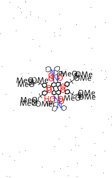 CO[Si](CCC(C)(C)c1ccc(Oc2cc3c4c(cc(Oc5ccc(C(C)(C)CC[Si](OC)(OC)OC)cc5)c5c6c(Oc7ccc(C(C)(C)CC[Si](OC)(OC)OC)cc7)cc7c8c(cc(Oc9ccc(C(C)(C)CC[Si](OC)(OC)OC)cc9)c(c2c45)c86)C(=O)N(C(C(=O)N(C2CCCCC2)C2CCCCC2)C(C)C)C7O)C(=O)N(C(C(=O)N(C2CCCCC2)C2CCCCC2)C(C)C)C3=O)cc1)(OC)OC